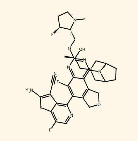 C[C@@H](O)CN1CC2CCC(C1)N2c1nc(OC[C@@H]2[C@@H](F)CCN2C)nc2c(F)c(-c3ncc(F)c4sc(N)c(C#N)c34)c3c(c12)COC3